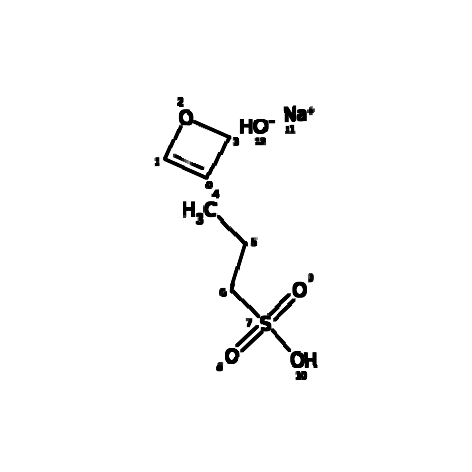 C1=COC1.CCCS(=O)(=O)O.[Na+].[OH-]